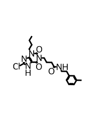 CCCCn1c(=O)n(CCCC(=O)NCCc2cccc(C)c2)c(=O)c2[nH]c(Cl)nc21